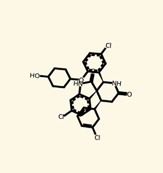 O=C1C[C@@H](C2C=CC=C(Cl)C2)[C@]2(C(=O)Nc3cc(Cl)ccc32)[C@@H](c2cc(Cl)ccc2OC2CCC(O)CC2)N1